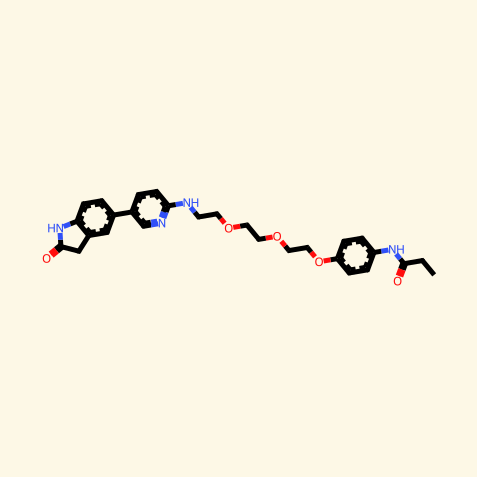 CCC(=O)Nc1ccc(OCCOCCOCCNc2ccc(-c3ccc4c(c3)CC(=O)N4)cn2)cc1